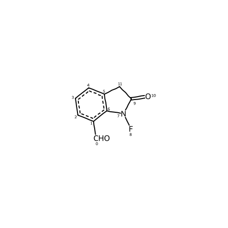 O=Cc1cccc2c1N(F)C(=O)C2